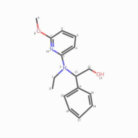 CCN(c1cccc(OC)n1)C(CO)c1ccccc1